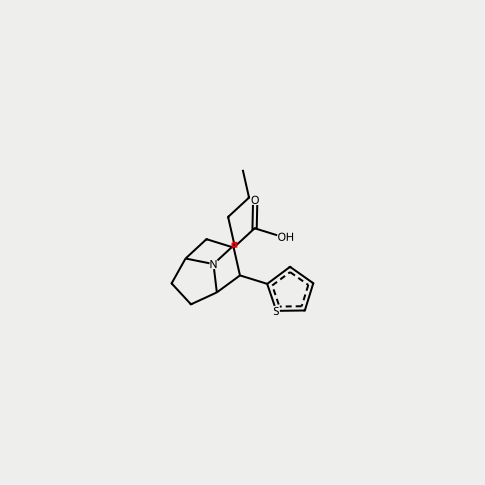 CCCCN1C2CCC1C(c1cccs1)C(C(=O)O)C2